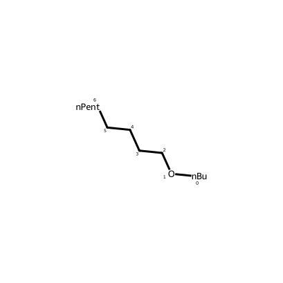 [CH2]CCCOCCCCCCCCC